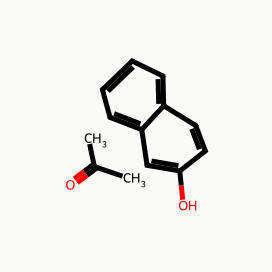 CC(C)=O.Oc1ccc2ccccc2c1